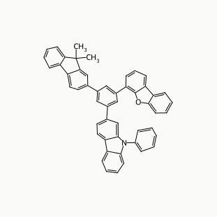 CC1(C)c2ccccc2-c2ccc(-c3cc(-c4ccc5c6ccccc6n(-c6ccccc6)c5c4)cc(-c4cccc5c4oc4ccccc45)c3)cc21